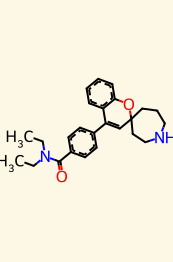 CCN(CC)C(=O)c1ccc(C2=CC3(CCCNCC3)Oc3ccccc32)cc1